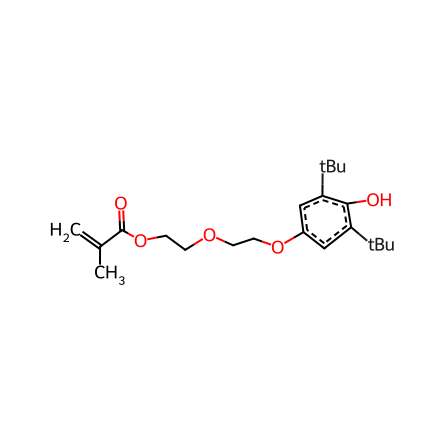 C=C(C)C(=O)OCCOCCOc1cc(C(C)(C)C)c(O)c(C(C)(C)C)c1